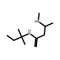 C=C(CC(C)NC)NC(C)(C)CC